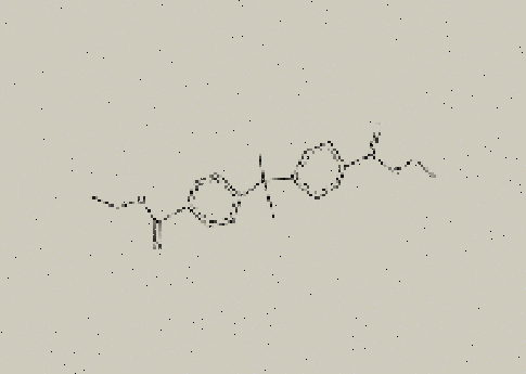 CCOC(=O)c1ccc(C(C)(C)c2ccc(C(=O)OCC)cc2)cc1